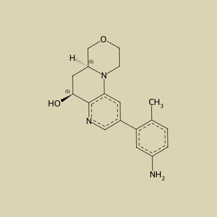 Cc1ccc(N)cc1-c1cnc2c(c1)N1CCOC[C@@H]1C[C@@H]2O